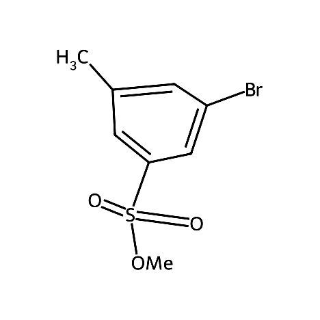 COS(=O)(=O)c1cc(C)cc(Br)c1